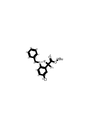 CC(C)(C)OC(=O)C(F)(F)c1cc(Cl)ccc1SCc1ccccc1